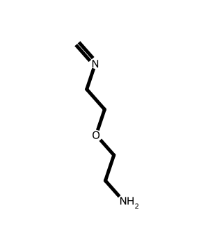 C=NCCOCCN